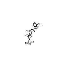 CC(C)COC(=O)OCSP(=O)(O)OCC1O[C@@H](n2cnc3c(N)ncnc32)C[C@@H]1O